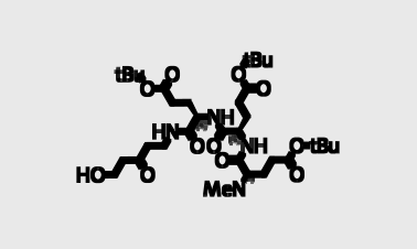 CN[C@H](CCC(=O)OC(C)(C)C)C(=O)N[C@H](CCC(=O)OC(C)(C)C)C(=O)N[C@H](CCC(=O)OC(C)(C)C)C(=O)NCCC(=O)CCO